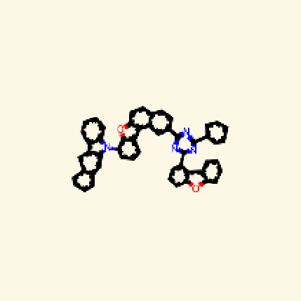 c1ccc(-c2nc(-c3ccc4ccc5oc6c(-n7c8ccccc8c8cc9ccccc9cc87)cccc6c5c4c3)nc(-c3cccc4oc5ccccc5c34)n2)cc1